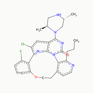 CCCc1nccc2c1-n1c(=O)nc(N3C[C@@H](C)NC[C@@H]3C)c3cc(Cl)c(nc31)-c1c(F)cccc1OCC2